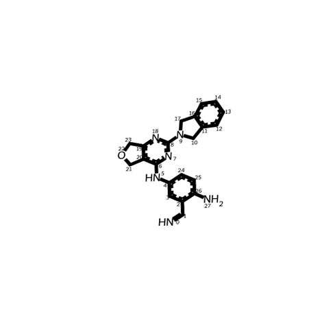 N=Cc1cc(Nc2nc(N3Cc4ccccc4C3)nc3c2COC3)ccc1N